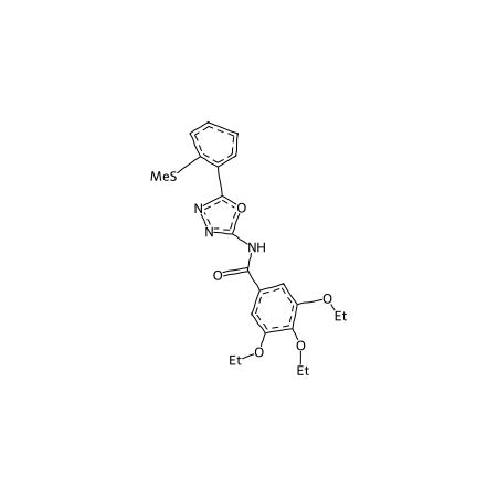 CCOc1cc(C(=O)Nc2nnc(-c3ccccc3SC)o2)cc(OCC)c1OCC